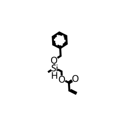 C=CC(=O)OC[SiH](C)OCc1ccccc1